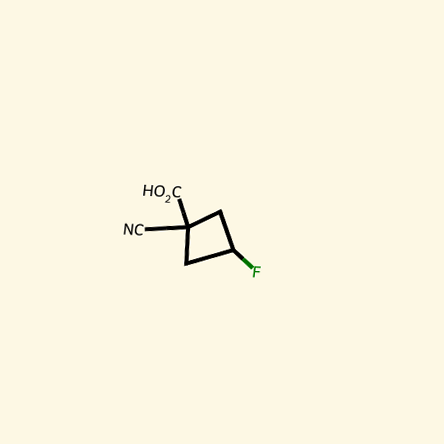 N#CC1(C(=O)O)CC(F)C1